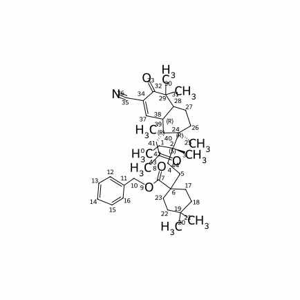 CC[C@@](C)(CCC1(C(=O)OCc2ccccc2)CCC(C)(C)CC1)[C@]1(C)CCC2C(C)(C)C(=O)C(C#N)=C[C@]2(C)[C@H]1CC(C)=O